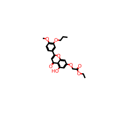 CCCOc1cc(-c2cc(=O)c3c(O)cc(OCC(=O)OCC)cc3o2)ccc1OC